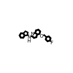 Fc1ccc(COc2cccc3nc(N[C@@H]4CCc5ccccc54)ccc23)cc1